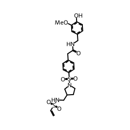 C=CS(=O)(=O)NCC1CCN(S(=O)(=O)c2ccc(CC(=O)NCc3ccc(O)c(OC)c3)cc2)C1